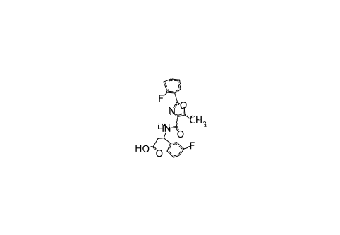 Cc1oc(-c2ccccc2F)nc1C(=O)NC(CC(=O)O)c1cccc(F)c1